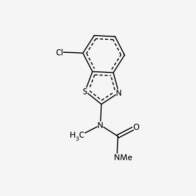 CNC(=O)N(C)c1nc2cccc(Cl)c2s1